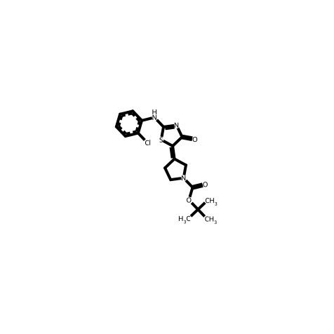 CC(C)(C)OC(=O)N1CC/C(=C2\SC(Nc3ccccc3Cl)=NC2=O)C1